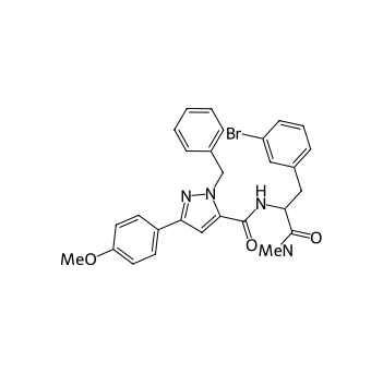 CNC(=O)C(Cc1cccc(Br)c1)NC(=O)c1cc(-c2ccc(OC)cc2)nn1Cc1ccccc1